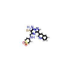 Nc1c(Br)c(CNC2CCS(=O)(=O)CC2)nc2c(-c3cnc4ccccc4c3)cnn12